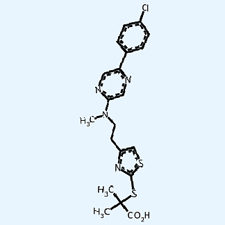 CN(CCc1csc(SC(C)(C)C(=O)O)n1)c1cnc(-c2ccc(Cl)cc2)cn1